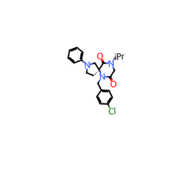 CC(C)N1CC(=O)N(Cc2ccc(Cl)cc2)[C@]2(CCN(c3ccccc3)C2)C1=O